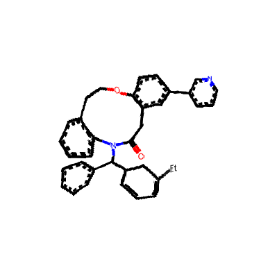 CCC1=CC=CC(C(c2ccccc2)N2C(=O)Cc3cc(-c4cccnc4)ccc3OCCc3ccccc32)C1